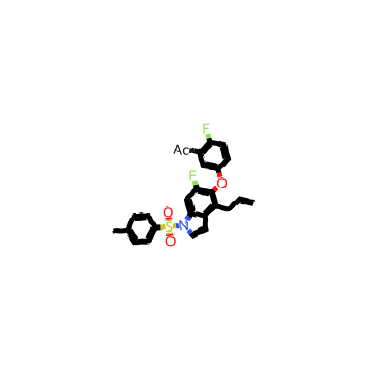 C=CCc1c(Oc2ccc(F)c(C(C)=O)c2)c(F)cc2c1ccn2S(=O)(=O)c1ccc(C)cc1